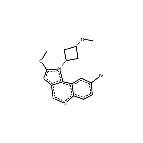 COc1nc2nnc3ccc(Br)cc3c2n1[C@H]1C[C@@H](OC)C1